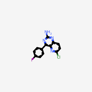 Nc1nc(-c2ccc(I)cc2)c2nc(Cl)ccc2n1